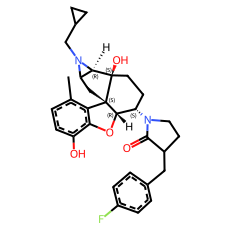 Cc1ccc(O)c2c1[C@]13CC4[C@@H](N4CC4CC4)[C@]1(O)CC[C@H](N1CCC(Cc4ccc(F)cc4)C1=O)[C@@H]3O2